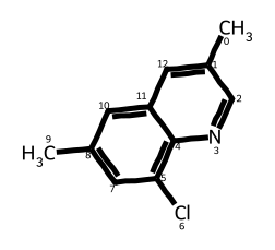 Cc1cnc2c(Cl)cc(C)cc2c1